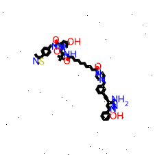 Cc1ncsc1-c1ccc(CNC(=O)[C@@H]2C[C@@H](O)CN2C(=O)[C@@H](NC(=O)CCCCCCCCC(=O)N2CCN(Cc3cccc(C#Cc4cc(-c5ccccc5O)nnc4N)c3)CC2)C(C)(C)C)cc1